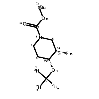 [2H]C([2H])([2H])O[C@@H]1CCN(C(=O)OCCCC)C[C@@H]1F